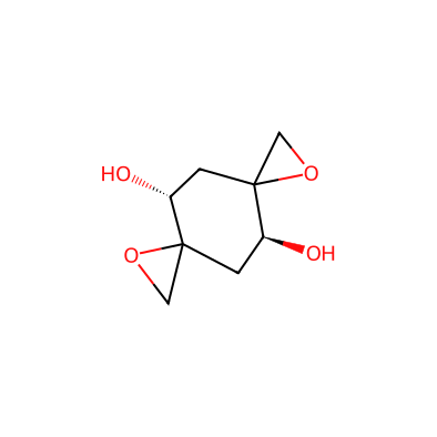 O[C@@H]1CC2(CO2)[C@@H](O)CC12CO2